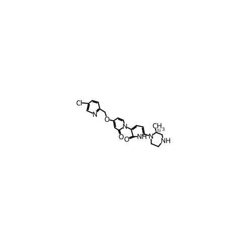 C[C@H]1CNCCN1c1ccc(-n2ccc(OCc3ccc(Cl)cn3)cc2=O)c(=O)[nH]1